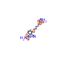 N#Cc1c(NS(N)(=O)=O)cccc1OCCCCCOS(N)(=O)=O